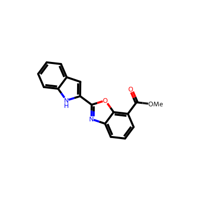 COC(=O)c1cccc2nc(-c3cc4ccccc4[nH]3)oc12